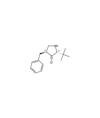 CC(C)(C)[C@H]1NC[C@H](Cc2ccccc2)[NH+]1[O-]